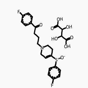 O=C(CCCN1CC=C([S+]([O-])c2ccc(F)cc2)CC1)c1ccc(F)cc1.O=C(O)C(O)C(O)C(=O)O